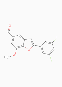 COc1cc(C=O)cc2cc(-c3cc(F)cc(F)c3)oc12